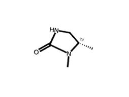 C[C@H]1CNC(=O)N1C